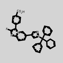 O=C(O)c1ccc(-c2c(F)nc3ccc(-c4cnn(C(c5ccccc5)(c5ccccc5)C5C=CC=CC5)c4)cn23)cc1